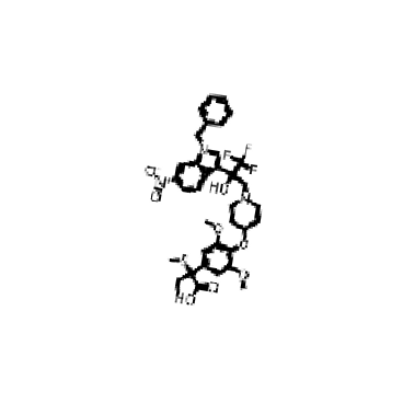 CCC(SC)(C(=O)O)c1cc(OC)c(OC2CCN(CC(O)(c3cn(Cc4ccccc4)c4cc([N+](=O)[O-])ccc34)C(F)(F)F)CC2)c(OC)c1